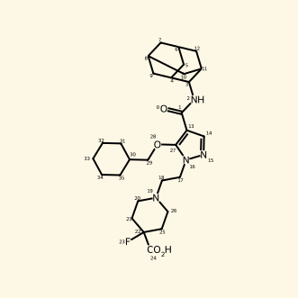 O=C(NC1C2CC3CC(C2)CC1C3)c1cnn(CCN2CCC(F)(C(=O)O)CC2)c1OCC1CCCCC1